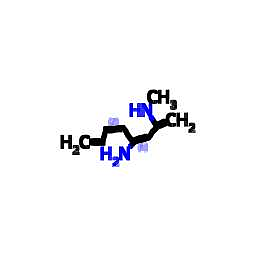 C=C/C=C\C(N)=C/C(=C)NC